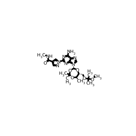 CNC(=O)c1cnn(-c2nc(N)c3ncn([C@@H]4O[C@H](COC(C)(C)OC)[C@@H](C)OC(C)(C)O4)c3n2)c1